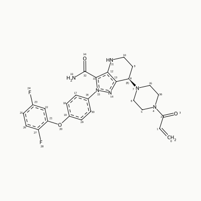 C=CC(=O)N1CCN([C@@H]2CCNc3c2nn(-c2ccc(Oc4cc(F)ccc4F)cc2)c3C(N)=O)CC1